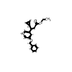 CCOC(=O)CC(c1cncc(OCc2ccccc2)c1)C1CC1